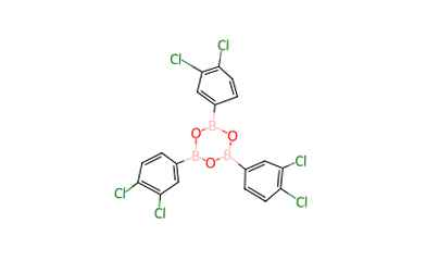 Clc1ccc(B2OB(c3ccc(Cl)c(Cl)c3)OB(c3ccc(Cl)c(Cl)c3)O2)cc1Cl